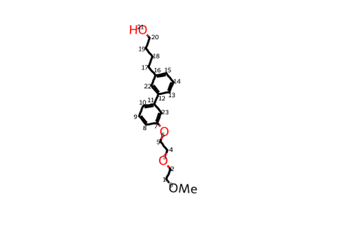 COCCOCCOc1cccc(-c2[c]ccc(CCCCO)c2)c1